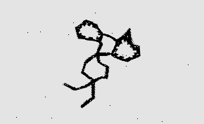 CCC1(CC)CCC2(CC1)c1ccccc1-c1ccccc12